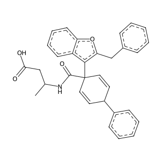 CC(CC(=O)O)NC(=O)C1(c2c(Cc3ccccc3)oc3ccccc23)C=CC(c2ccccc2)C=C1